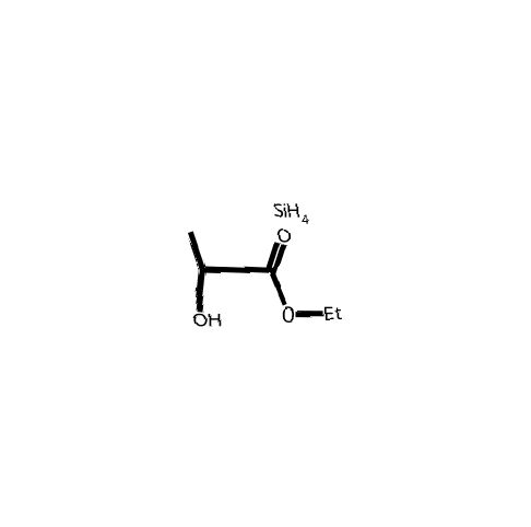 CCOC(=O)C(C)O.[SiH4]